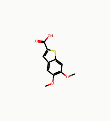 COc1cc2cc(C(=O)O)sc2cc1OC